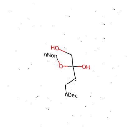 CCCCCCCCCCCCC(O)(CO)OCCCCCCCCC